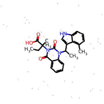 CCC(C)(C(=O)O)n1c(=O)c2ccccc2n(C(C)c2c[nH]c3cccc(C)c23)c1=O